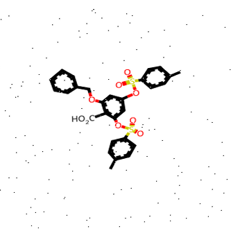 Cc1ccc(S(=O)(=O)Oc2cc(OCc3ccccc3)c(C(=O)O)c(OS(=O)(=O)c3ccc(C)cc3)c2)cc1